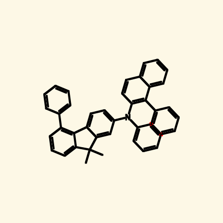 CC1(C)c2cc(N(c3ccccc3)c3ccc4ccccc4c3-c3ccccc3)ccc2-c2c(-c3ccccc3)cccc21